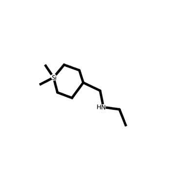 CCNCC1CC[Si](C)(C)CC1